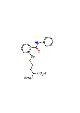 CC(=O)NC(CCS[Se]c1ccccc1C(=O)Nc1ccccc1)C(=O)O